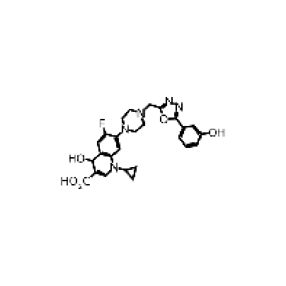 O=C(O)C1=CN(C2CC2)c2cc(N3CCN(Cc4nnc(-c5cccc(O)c5)o4)CC3)c(F)cc2C1O